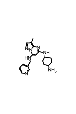 Cc1cnn2c(NCc3cccnc3)cc(N[C@H]3CC[C@H](N)CC3)nc12